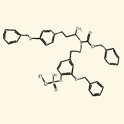 CCOP(=O)(O)Oc1ccc(CCN(C(=O)OCc2ccccc2)C(C)CCc2ccc(OCc3ccccc3)cc2)cc1OCc1ccccc1